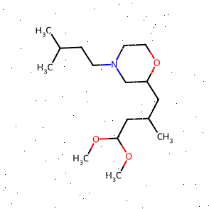 COC(CC(C)CC1CN(CCC(C)C)CCO1)OC